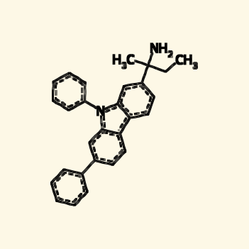 CCC(C)(N)c1ccc2c3ccc(-c4ccccc4)cc3n(-c3ccccc3)c2c1